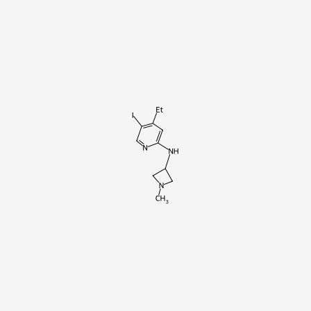 CCc1cc(NC2CN(C)C2)ncc1I